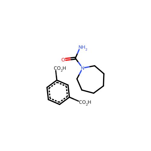 NC(=O)N1CCCCCC1.O=C(O)c1cccc(C(=O)O)c1